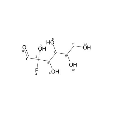 O=C[C@](O)(F)C(O)C(O)C(O)CO